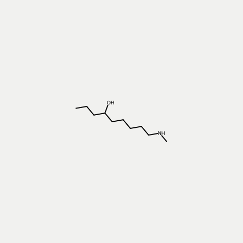 CCCC(O)CCCCCNC